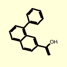 C=C(O)c1ccc2cccc(-c3ccccc3)c2c1